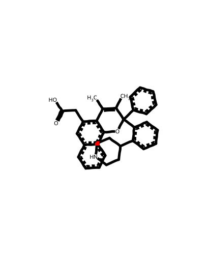 CC1=C(C)C(c2ccccc2)(c2ccccc2C2CCNCC2)Oc2c1c(CC(=O)O)cc1ccccc21